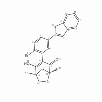 CCc1ccc(-c2cc3ccccc3s2)cc1C1=C(O)[C@H]2CC[C@H](C2)C1=O